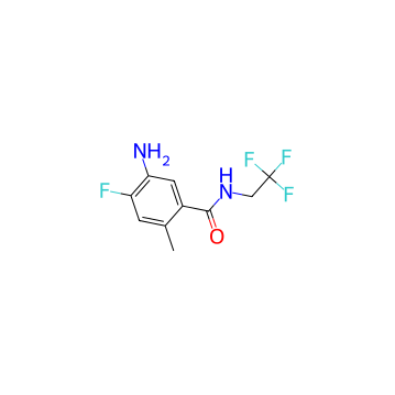 Cc1cc(F)c(N)cc1C(=O)NCC(F)(F)F